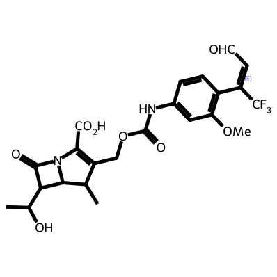 COc1cc(NC(=O)OCC2=C(C(=O)O)N3C(=O)C(C(C)O)C3C2C)ccc1/C(=C\C=O)C(F)(F)F